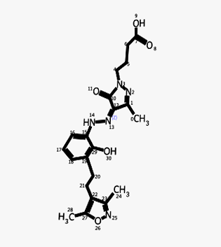 CC1=NN(CCCC(=O)O)C(=O)/C1=N\Nc1cccc(CCc2c(C)noc2C)c1O